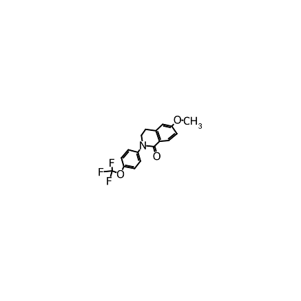 COc1ccc2c(c1)CCN(c1ccc(OC(F)(F)F)cc1)C2=O